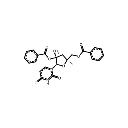 C[C@@]1(OC(=O)c2ccccc2)C[C@@](F)(COC(=O)c2ccccc2)O[C@H]1n1ccc(=O)[nH]c1=O